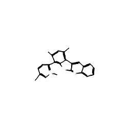 Cc1ccc(-c2c(C)cc(C)c3c2oc2nc4ccccc4cc23)[n+](C)c1